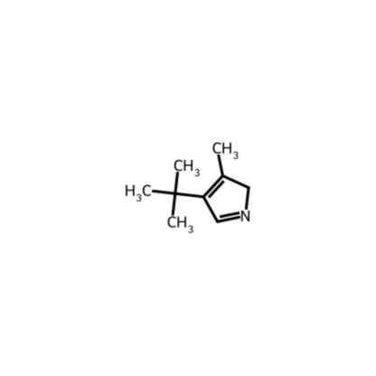 CC1=C(C(C)(C)C)C=NC1